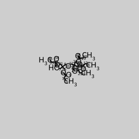 CCC(=O)OCC(CO)(COCC(COC(=O)CC)(COC(=O)CC)COC(=O)CC)COC(=O)CC